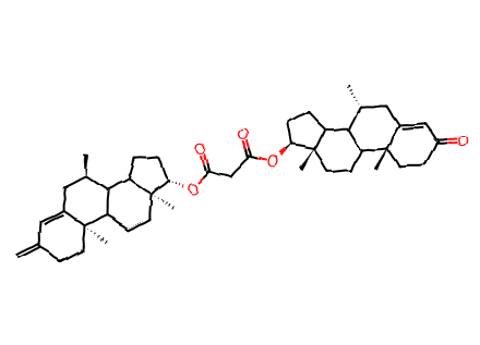 C=C1C=C2C[C@@H](C)C3C(CC[C@@]4(C)C3CC[C@@H]4OC(=O)CC(=O)O[C@H]3CCC4C5C(CC[C@@]43C)[C@@]3(C)CCC(=O)C=C3C[C@H]5C)[C@@]2(C)CC1